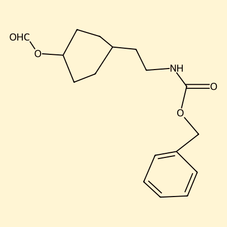 O=COC1CCC(CCNC(=O)OCc2ccccc2)CC1